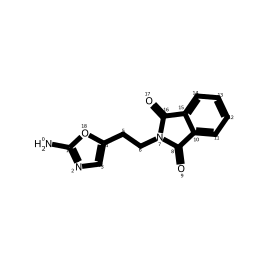 Nc1ncc(CCN2C(=O)c3ccccc3C2=O)o1